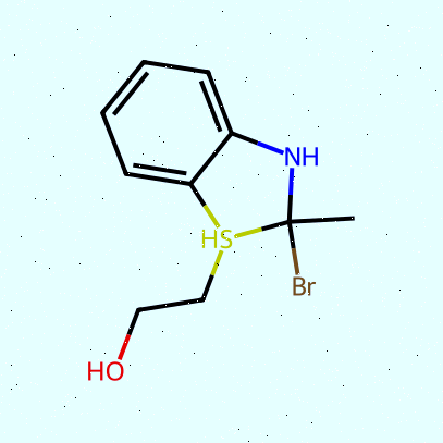 CC1(Br)Nc2ccccc2[SH]1CCO